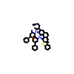 C#C/C=C\c1c(C)n(C2C=CC(c3ccccc3)=CC2C)c2c1cc1ccc3c4c(n(-c5cccc(-c6ccccc6)c5)c2c14)C1Sc2ccccc2C1(C)C=3